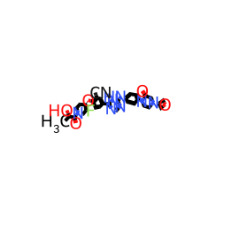 CC(O)C(=O)N1CC[C@H](Oc2ccc(-c3ncnc(Nc4ccc(N5CCN(C6COC6)CC5=O)cc4)n3)cc2C#N)[C@H](F)C1